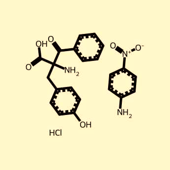 Cl.NC(Cc1ccc(O)cc1)(C(=O)O)C(=O)c1ccccc1.Nc1ccc([N+](=O)[O-])cc1